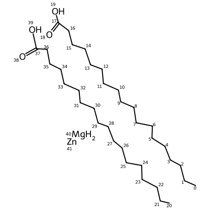 CCCCCCCCCCCCCCCCCC(=O)O.CCCCCCCCCCCCCCCCCC(=O)O.[MgH2].[Zn]